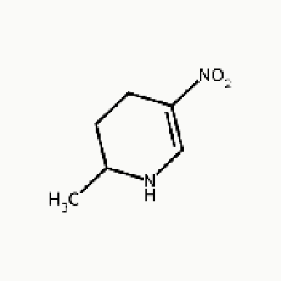 CC1CCC([N+](=O)[O-])=CN1